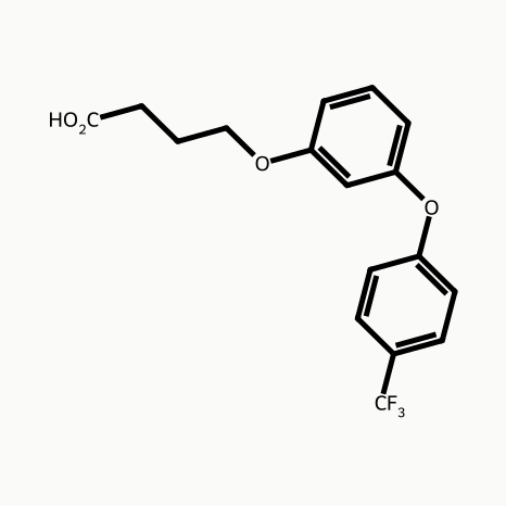 O=C(O)CCCOc1cccc(Oc2ccc(C(F)(F)F)cc2)c1